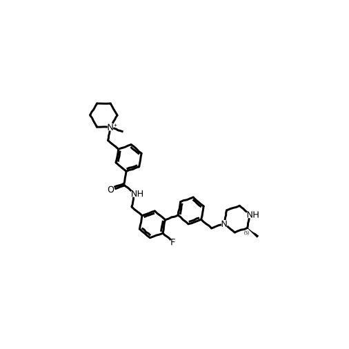 C[C@H]1CN(Cc2cccc(-c3cc(CNC(=O)c4cccc(C[N+]5(C)CCCCC5)c4)ccc3F)c2)CCN1